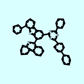 c1ccc(-c2ccc(-c3nc(-c4ccccc4)nc(-c4cc(-c5nc6ccccc6c6ccccc56)c5oc6c(-c7ccccc7)cccc6c5c4)n3)cc2)cc1